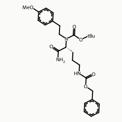 COc1ccc(CCN(C(=O)OC(C)(C)C)[C@H](CCCNC(=O)OCc2ccccc2)C(N)=O)cc1